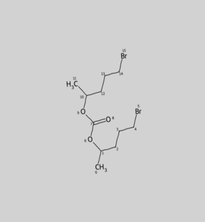 CC(CCCBr)OC(=O)OC(C)CCCBr